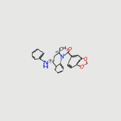 C[C@@H]1C[C@@H](Nc2ccccc2)c2ccccc2N1C(=O)c1ccc2c(c1)OCO2